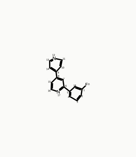 Fc1cccc(-c2cc(-c3ccncc3)ccn2)c1